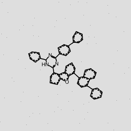 c1ccc(-c2ccc(C3=NC(c4ccccc4)NC(c4cccc5oc6c(-c7ccc(-c8ccccc8)c8ccccc78)cccc6c45)=N3)cc2)cc1